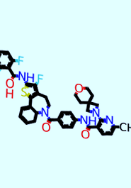 Cc1ccc(C(=O)Nc2ccc(C(=O)N3CCc4c(sc(NC(O)c5c(F)cccc5F)c4F)C4=CC=CCC43)cc2)c(N2CC3(CCOCC3)C2)n1